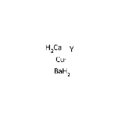 [BaH2].[CaH2].[Cu].[Y]